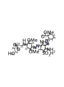 COC(=O)c1ccccc1/N=N/c1c(N)c(/N=N/c2cc(OC)c(NCCS(=O)(=O)CCO)cc2OC)cc(S(=O)(=O)O)c1N